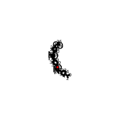 C=C(C)c1ccc(-c2nnc(-c3ccc(-c4nnc(-c5ccc(OC(C)=O)cc5)o4)cc3)o2)cc1